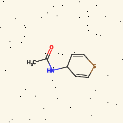 CC(=O)NC1C=CSC=C1